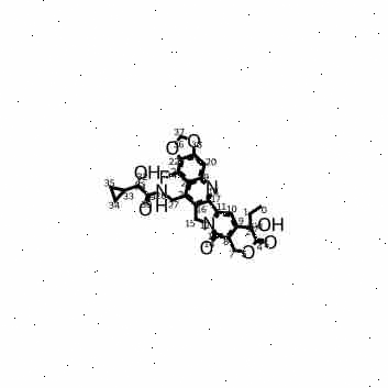 CC[C@@]1(O)C(=O)OCc2c1cc1n(c2=O)Cc2c-1nc1cc3c(c(F)c1c2CNC(=O)[C@@H](O)C1CC1)OCO3